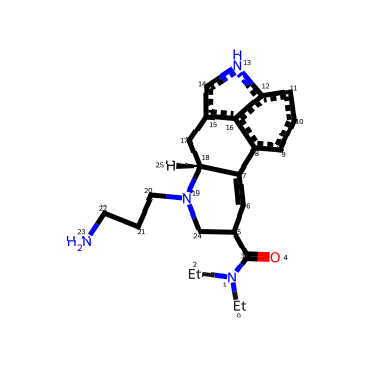 CCN(CC)C(=O)C1C=C2c3cccc4[nH]cc(c34)C[C@H]2N(CCCN)C1